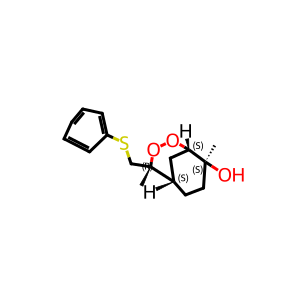 C[C@]1(O)CC[C@H]2C[C@@H]1OO[C@@]2(C)CSc1ccccc1